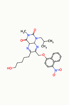 CC(C)CN1C(=O)N(C)C(=O)C2N=C(CCCCCO)C(COc3ccc([N+](=O)[O-])c4ccccc34)=NC21